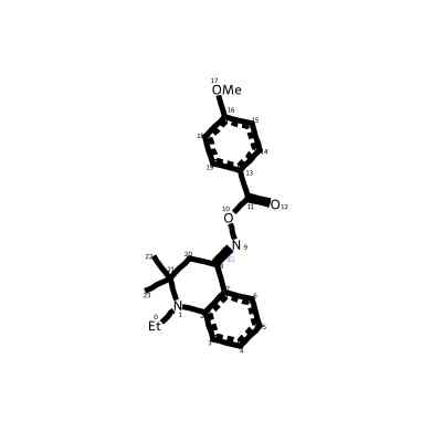 CCN1c2ccccc2/C(=N/OC(=O)c2ccc(OC)cc2)CC1(C)C